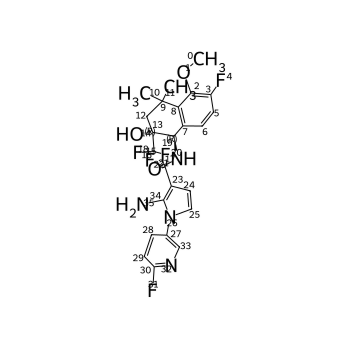 COc1c(F)ccc2c1C(C)(C)C[C@](O)(C(F)(F)F)[C@@H]2NC(=O)c1ccn(-c2ccc(F)nc2)c1N